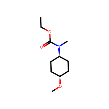 CCOC(=O)N(C)[C@H]1CC[C@@H](OC)CC1